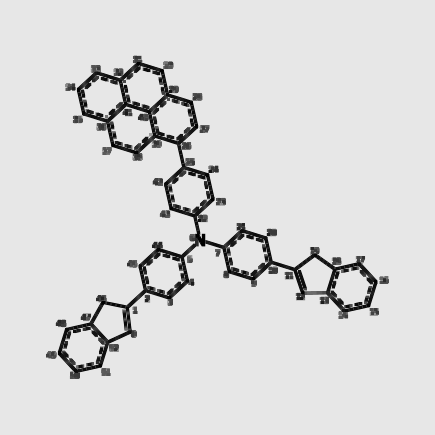 C1=C(c2ccc(N(c3ccc(C4=Cc5ccccc5C4)cc3)c3ccc(-c4ccc5ccc6cccc7ccc4c5c67)cc3)cc2)Cc2ccccc21